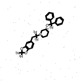 [2H]C1([2H])Oc2ccc(CC([2H])([2H])N3CCC[C@@H](OC([2H])(c4ccccc4)c4ccccc4)C3)cc2O1